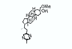 COC[C@@]1(O)CC[C@H]2[C@H](CC[C@@H]3[C@@H]2CC[C@]2(C)[C@@H]([C@@H](C)Cc4cnc(C)cn4)CC[C@@H]32)C1